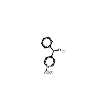 CCCCCCCC[n+]1ccc(C(CC)c2ccccc2)cc1.[Cl-]